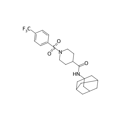 O=C(NC12CC3CC(CC(C3)C1)C2)C1CCN(S(=O)(=O)c2ccc(C(F)(F)F)cc2)CC1